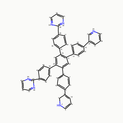 C1=CNCC(c2ccc(-c3cc(-c4ccc(-c5cccnc5)cc4)c(-c4ccc(-c5ncccn5)cc4)cc3-c3ccc(-c4ncccn4)cc3)cc2)=C1